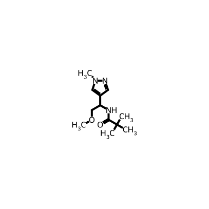 COCC(NC(=O)C(C)(C)C)c1cnn(C)c1